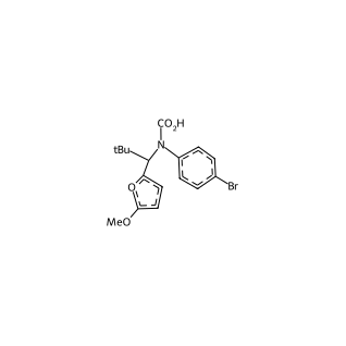 COc1ccc(C(N(C(=O)O)c2ccc(Br)cc2)C(C)(C)C)o1